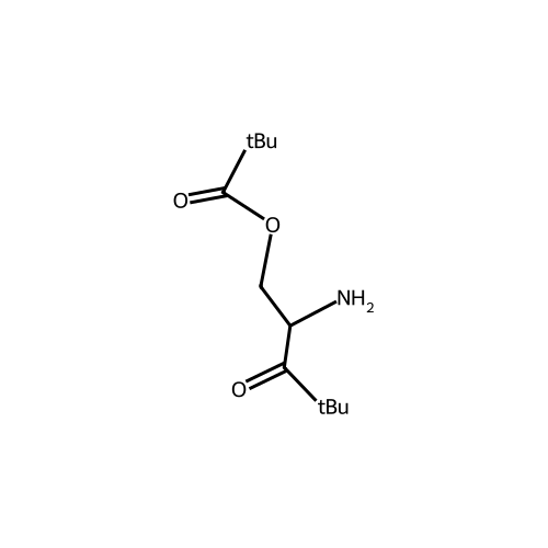 CC(C)(C)C(=O)OCC(N)C(=O)C(C)(C)C